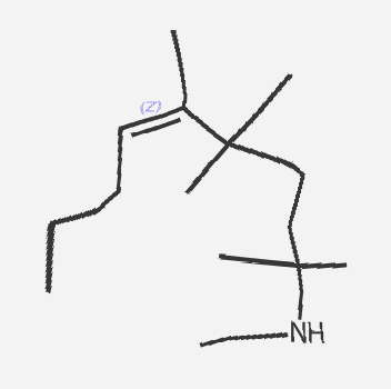 CCC/C=C(/C)C(C)(C)CC(C)(C)NC